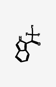 O=C(c1[nH]cc2ccccc12)C(F)(F)F